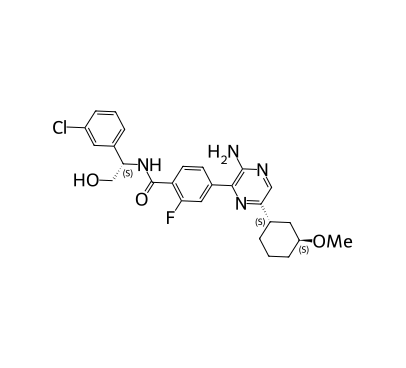 CO[C@H]1CCC[C@H](c2cnc(N)c(-c3ccc(C(=O)N[C@H](CO)c4cccc(Cl)c4)c(F)c3)n2)C1